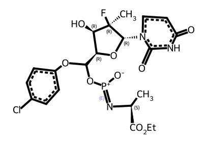 CCOC(=O)[C@H](C)/N=[P+](\[O-])OC(Oc1ccc(Cl)cc1)[C@@H]1O[C@@H](n2ccc(=O)[nH]c2=O)[C@](C)(F)[C@@H]1O